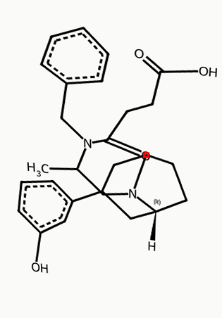 CC(CN1C2CC[C@@H]1CC(c1cccc(O)c1)C2)N(Cc1ccccc1)C(=O)CCC(=O)O